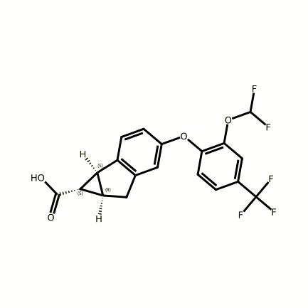 O=C(O)[C@H]1[C@@H]2Cc3cc(Oc4ccc(C(F)(F)F)cc4OC(F)F)ccc3[C@@H]21